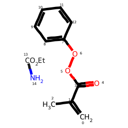 C=C(C)C(=O)OOc1ccccc1.CCOC(N)=O